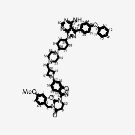 COc1ccc(CN2C(=O)CCN(c3noc4cc(N5CC(CN6CCN(C7CCC(n8nc(-c9ccc(Oc%10ccccc%10)cc9)c9c(N)ncnc98)CC7)CC6)C5)ccc34)C2=O)cc1